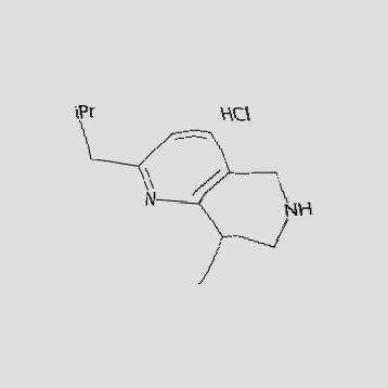 CC(C)Cc1ccc2c(n1)C(C)CNC2.Cl